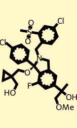 COCC(C)(O)c1cc(F)c2c(c1)CN(Cc1ccc(Cl)cc1S(C)(=O)=O)[C@@]2(OCC1(CO)CC1)c1ccc(Cl)cc1